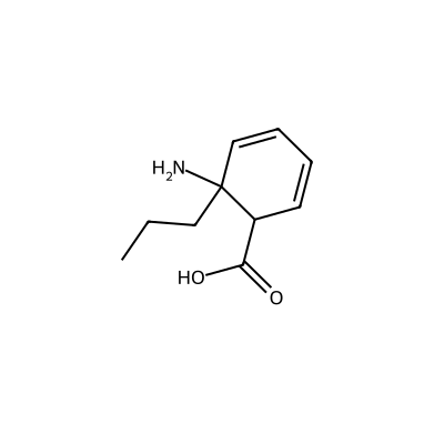 CCCC1(N)C=CC=CC1C(=O)O